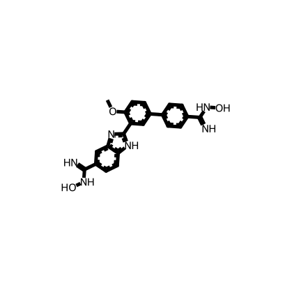 COc1ccc(-c2ccc(C(=N)NO)cc2)cc1-c1nc2cc(C(=N)NO)ccc2[nH]1